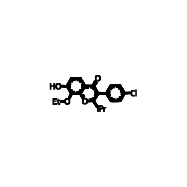 CCOc1c(O)ccc2c(=O)c(-c3ccc(Cl)cc3)c(C(C)C)oc12